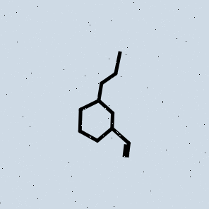 C=CC1CCCC(CCC)C1